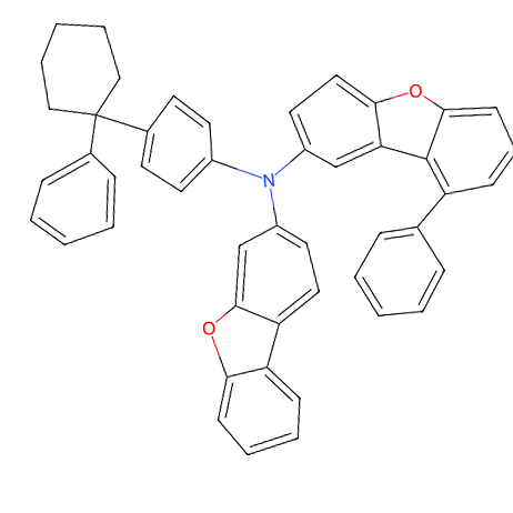 c1ccc(-c2cccc3oc4ccc(N(c5ccc(C6(c7ccccc7)CCCCC6)cc5)c5ccc6c(c5)oc5ccccc56)cc4c23)cc1